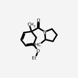 CCOC1=CC=CC(C)(C(=O)N2CCCC2C=O)C1